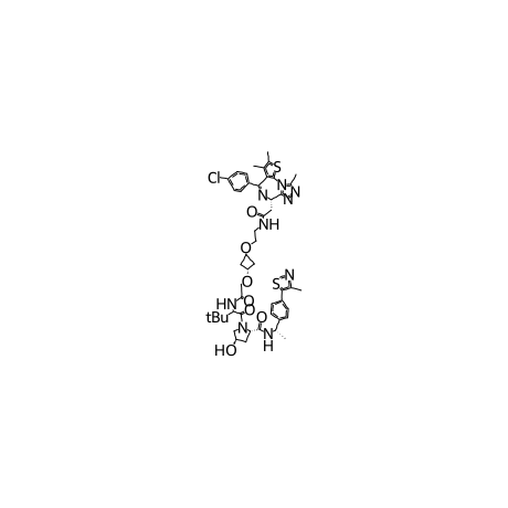 Cc1ncsc1-c1ccc([C@H](C)NC(=O)[C@@H]2C[C@@H](O)CN2C(=O)C(NC(=O)CO[C@H]2C[C@H](OCCNC(=O)C[C@@H]3N=C(c4ccc(Cl)cc4)c4c(sc(C)c4C)-n4c(C)nnc43)C2)C(C)(C)C)cc1